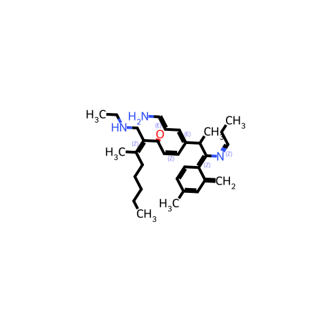 C=c1cc(C)cc/c1=C(/N=C\CC)C(C)C(/C=C\C(=O)/C(CNCC)=C(/C)CCCCC)=C/C=C/N